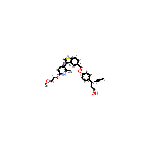 CC#C[C@@H](CCO)c1ccc(OCc2ccc3scc(-c4ccc(OCCOC)nc4C)c3c2)cc1